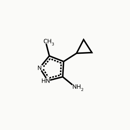 Cc1n[nH]c(N)c1C1CC1